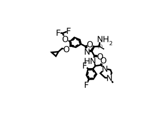 C[C@H](N)c1oc(-c2ccc(OC(F)F)c(OCC3CC3)c2)nc1C(=O)NC(C(=O)N1CCN(C)CC1)c1ccc(F)cc1F